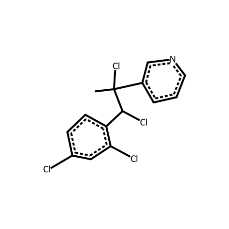 CC(Cl)(c1cccnc1)C(Cl)c1ccc(Cl)cc1Cl